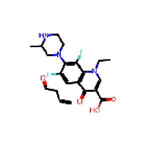 C=CCC=O.CCn1cc(C(=O)O)c(=O)c2cc(F)c(N3CCNC(C)C3)c(F)c21